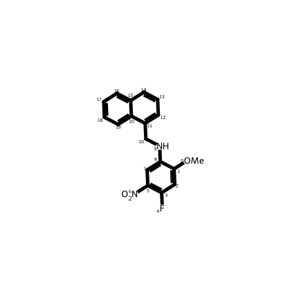 COc1cc(F)c([N+](=O)[O-])cc1NCc1cccc2ccccc12